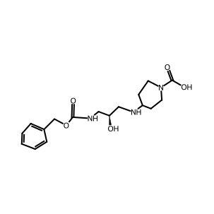 O=C(NC[C@H](O)CNC1CCN(C(=O)O)CC1)OCc1ccccc1